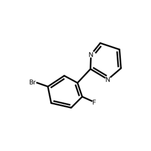 Fc1ccc(Br)cc1-c1ncccn1